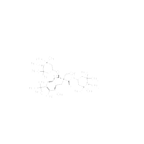 CCC(Cc1c(C)cc(C(C)(C)C)c(O)c1C)(C(=O)OC1CC(C)(C)N(C)C(C)(C)C1)C(=O)OC1CC(C)(C)N(C)C(C)(C)C1